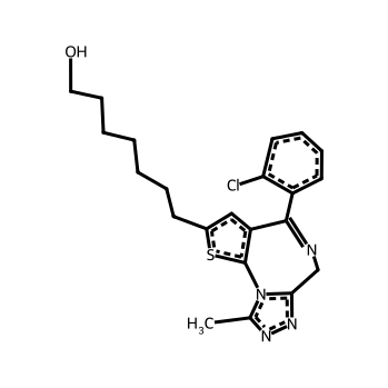 Cc1nnc2n1-c1sc(CCCCCCCO)cc1C(c1ccccc1Cl)=NC2